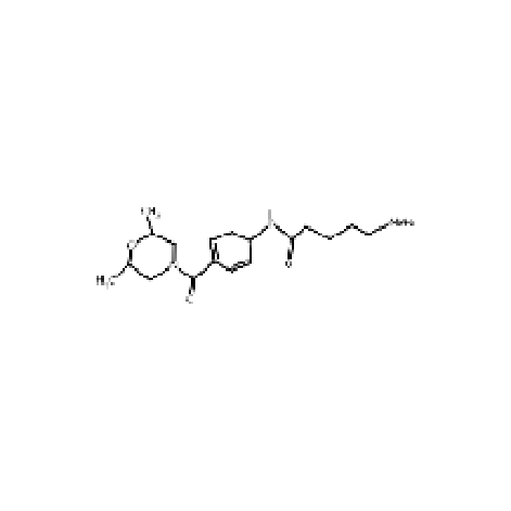 CNCCCCC(=O)NC1C=CC(C(=O)N2CC(C)OC(C)C2)=CC1